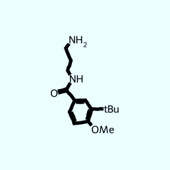 COc1ccc(C(=O)NCCCN)cc1C(C)(C)C